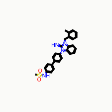 Cc1ccccc1Cn1c(=N)n(-c2ccc(-c3ccc(NS(C)(=O)=O)cc3)cc2)c2ccccc21